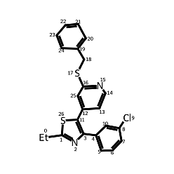 CCc1nc(-c2cccc(Cl)c2)c(-c2ccnc(SCc3ccccc3)c2)s1